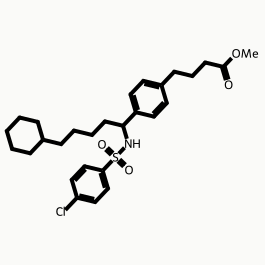 COC(=O)CCCc1ccc(C(CCCCC2CCCCC2)NS(=O)(=O)c2ccc(Cl)cc2)cc1